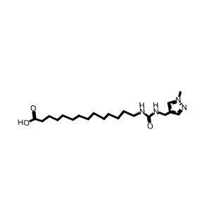 Cn1cc(CNC(=O)NCCCCCCCCCCCCCC(=O)O)cn1